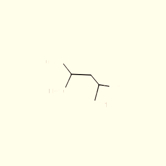 CCCCCCCCC(CCCCCCC)CC(CCC)CCCCCCC